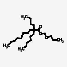 C=CCOCOC(=O)C(CCCC)(CCCCCC)CCCCCCCC